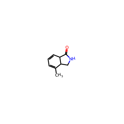 CC1=CC=CC2C(=O)NCC12